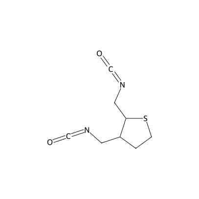 O=C=NCC1CCSC1CN=C=O